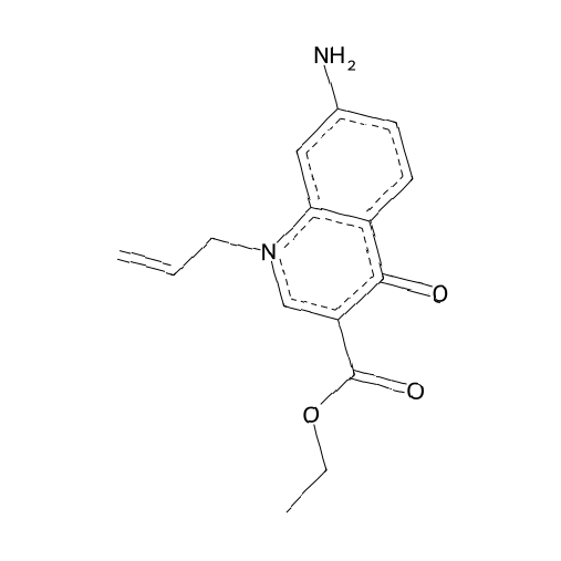 C=CCn1cc(C(=O)OCC)c(=O)c2ccc(N)cc21